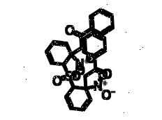 O=C(CC1([N+](=O)[O-])C=CC=CC1S(=O)(=O)C1C=CC=CC1(CC(=O)c1ccccc1)[N+](=O)[O-])c1ccccc1